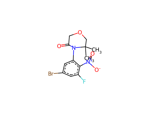 CC1(C)COCC(=O)N1c1cc(Br)cc(F)c1[N+](=O)[O-]